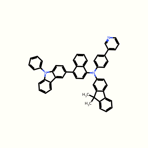 CC1(C)c2ccccc2-c2ccc(N(c3ccc(-c4cccnc4)cc3)c3ccc(-c4ccc5c(c4)c4ccccc4n5-c4ccccc4)c4ccccc34)cc21